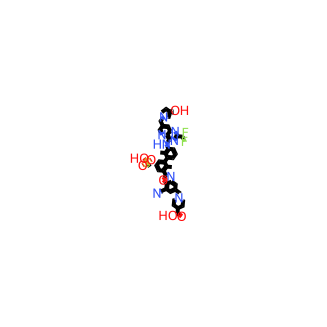 CS(=O)(=O)O.Cc1c(Nc2nc(C(F)F)nc3cc(CN4CC[C@@H](O)C4)cnc23)cccc1-c1cccc(-c2nc3cc(CN4CCC(C(=O)O)CC4)cc(C#N)c3o2)c1C